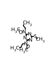 CCCN(OC)c1nc(SC)nc(N(CCC)OC)n1